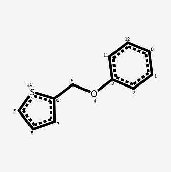 c1ccc(OCc2cccs2)cc1